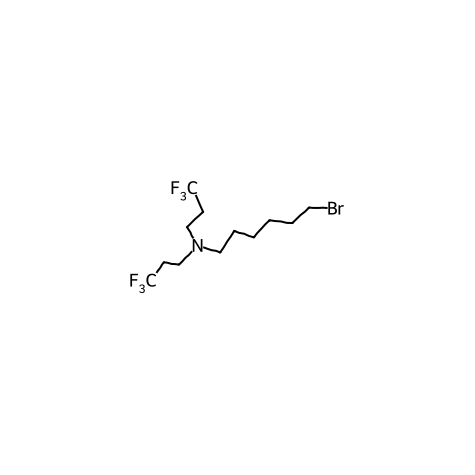 FC(F)(F)CCN(CCCCCCBr)CCC(F)(F)F